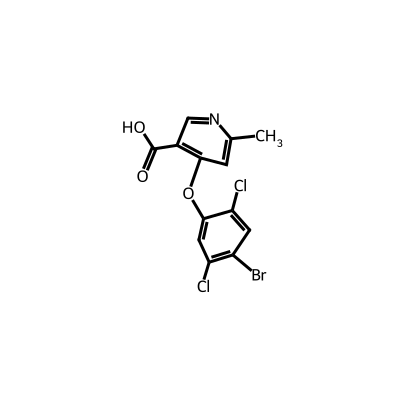 Cc1cc(Oc2cc(Cl)c(Br)cc2Cl)c(C(=O)O)cn1